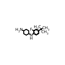 CC(C)(C)c1ccc(NC2CCC(N)CC2)c(F)c1